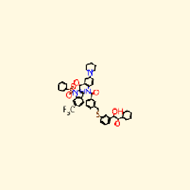 O=C(Nc1ccc(N2CCCCC2)cc1C(=O)c1cc2ccc(C(F)(F)F)cc2n1S(=O)(=O)c1ccccc1)c1cccc(CSc2cccc(C(O)C(=O)c3ccccc3)c2)c1